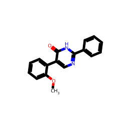 COc1ccccc1-c1cnc(-c2ccccc2)[nH]c1=O